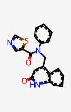 O=C(c1cncs1)N(Cc1cc(=O)[nH]c2ccccc12)c1ccccc1